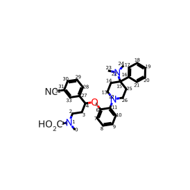 CN(CCC(Oc1ccccc1N1CCC(c2ccccc2)(N(C)C)CC1)c1cccc(C#N)c1)C(=O)O